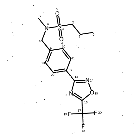 CCCS(=O)(=O)N(C)Cc1ccc(-c2noc(C(F)(F)F)n2)cc1